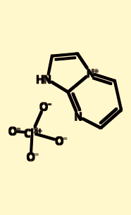 [O-][Cl+3]([O-])([O-])[O-].c1cnc2[nH]cc[n+]2c1